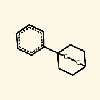 [c]1ccc(C23CCC(CC2)CC3)cc1